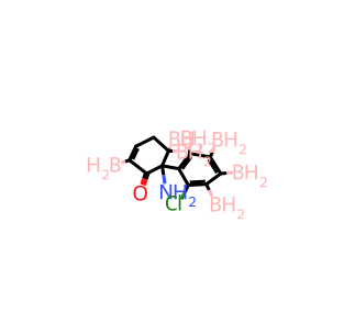 BC1=CCC(B)(B)C(N)(c2c(B)c(B)c(B)c(B)c2Cl)C1=O